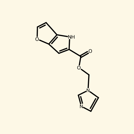 O=C(OCn1ccnc1)c1cc2occc2[nH]1